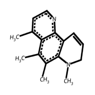 Cc1c2c(c3nccc(C)c3c1C)C=CCN2C